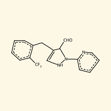 O=CC1C(Cc2ccccc2C(F)(F)F)=CNN1c1ccccn1